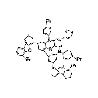 CC(C)c1ccc(N2c3cc(-c4cccc5c4oc4c(C(C)C)cccc45)cc4c3B3c5c-4cc(-c4cccc6c4oc4c(C(C)C)cccc46)cc5N(c4ccc(C(C)C)cc4)c4cc(-c5ccccc5)cc2c43)cc1